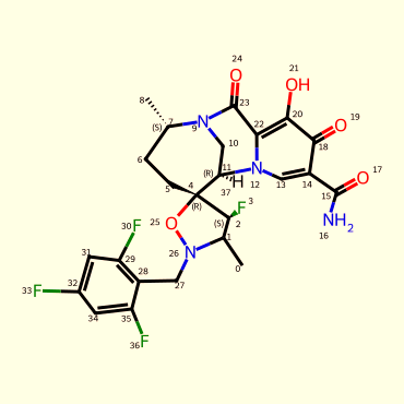 CC1[C@H](F)[C@]2(CC[C@H](C)N3C[C@H]2n2cc(C(N)=O)c(=O)c(O)c2C3=O)ON1Cc1c(F)cc(F)cc1F